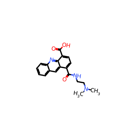 CN(C)CCNC(=O)c1ccc(C(=O)O)c2nc3ccccc3cc12